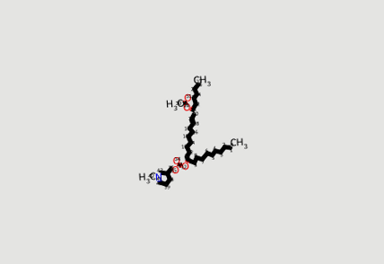 CCCCCCCCCCC(CCCCCCCC=CC[C@@H](CCCCCC)OC(C)=O)OC(=O)OCC1CCCN(C)C1